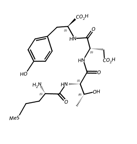 CSCC[C@H](N)C(=O)N[C@H](C(=O)N[C@@H](CC(=O)O)C(=O)N[C@@H](Cc1ccc(O)cc1)C(=O)O)[C@@H](C)O